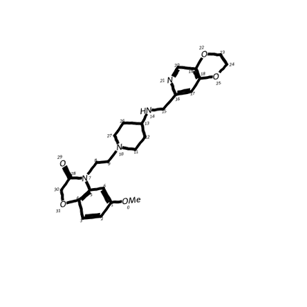 COc1ccc2c(c1)N(CCN1CCC(NCc3cc4c(cn3)OCCO4)CC1)C(=O)CO2